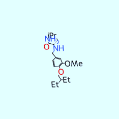 CCC(CC)COc1ccc(CN[C@@H](CC(C)C)C(N)=O)cc1OC